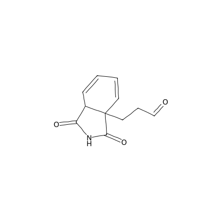 O=CCCC12C=CC=CC1C(=O)NC2=O